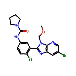 COCn1c(-c2cc(NC(=O)N3CCCC3)ccc2Cl)nc2cc(Br)cnc21